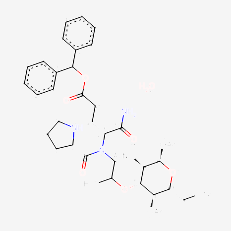 CC(=O)N[C@H]1[C@@H](OC(C)=O)O[C@H](COC(C)=O)[C@@H](OC(C)=O)[C@@H]1OC(C)CN(C(=O)[C@@H]1CCCN1)[C@H](CCC(=O)OC(c1ccccc1)c1ccccc1)C(N)=O.O